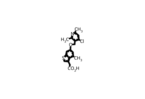 Cc1cc(Cl)c(COc2cc(C)c3c(CC(=O)O)csc3c2)c(C)n1